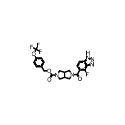 O=C(OCc1ccc(OC(F)(F)F)cc1)N1CC2CN(C(=O)c3ccc4[nH]nnc4c3F)CC2C1